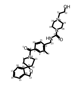 Cc1cc(C(=O)N2CCC3(CC2)OCc2ccccc23)ccc1CNC(=O)N1CCN(CCO)CC1